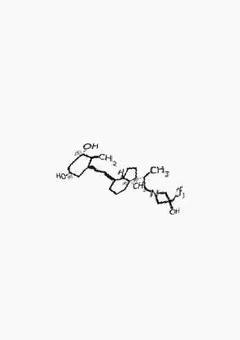 C=C1C(=CC=C2CCC[C@]3(C)[C@@H](C(C)CN4CC(O)(C(F)(F)F)C4)CC[C@@H]23)C[C@@H](O)C[C@@H]1O